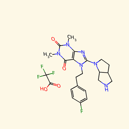 Cn1c(=O)c2c(nc(N3CCC4CNCC43)n2CCc2ccc(F)cc2)n(C)c1=O.O=C(O)C(F)(F)F